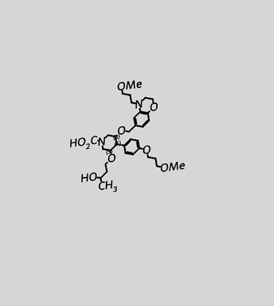 COCCCOc1ccc([C@@H]2[C@@H](OCc3ccc4c(c3)N(CCCOC)CCO4)CN(C(=O)O)C[C@H]2OCCC(C)O)cc1